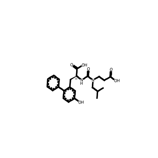 CC(C)CN(CCC(=O)O)C(=O)N[C@@H](Cc1cc(O)ccc1-c1ccccc1)C(=O)O